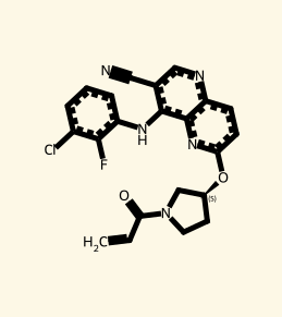 C=CC(=O)N1CC[C@H](Oc2ccc3ncc(C#N)c(Nc4cccc(Cl)c4F)c3n2)C1